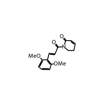 COc1cccc(OC)c1/C=C/C(=O)N1CCC=CC1=O